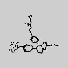 CC(C)c1ccc(C2CCc3cc(O)ccc3[C@H]2c2ccc(CCNCC3CC3)cc2)cc1